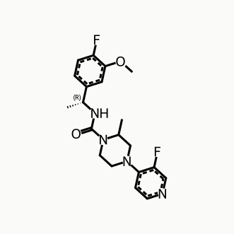 COc1cc([C@@H](C)NC(=O)N2CCN(c3ccncc3F)CC2C)ccc1F